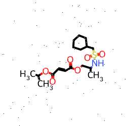 CC(COC(=O)/C=C/C(=O)OC(C)C)NS(=O)(=O)CC1CCCCC1